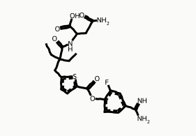 CCC(CC)(Cc1ccc(C(=O)Oc2ccc(C(=N)N)cc2F)s1)C(=O)NC(CC(N)=O)C(=O)O